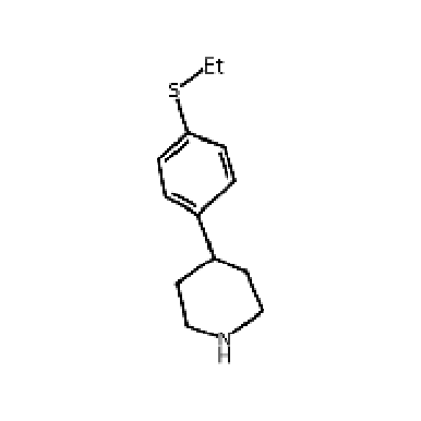 CCSc1ccc(C2CCNCC2)cc1